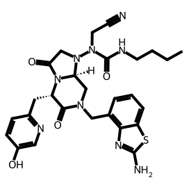 CCCCNC(=O)N(CC#N)N1CC(=O)N2[C@@H](Cc3ccc(O)cn3)C(=O)N(Cc3cccc4sc(N)nc34)C[C@@H]21